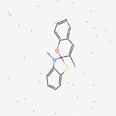 CC1=Cc2ccccc2OC12Sc1ccccc1N2C